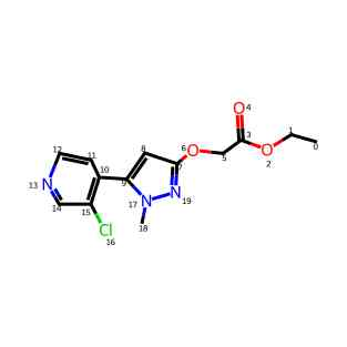 CCOC(=O)COc1cc(-c2ccncc2Cl)n(C)n1